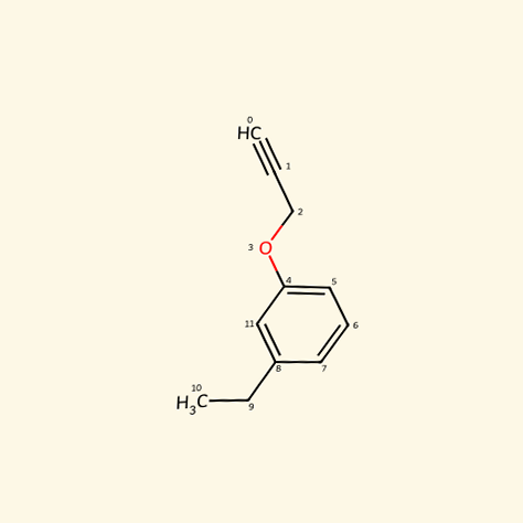 C#CCOc1cccc(CC)c1